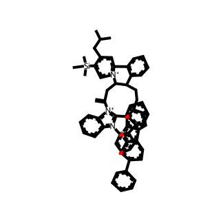 C=C1CC2C(CCc3ccc4c(sc5cc(-c6ccccc6)ccc54)c3-c3n(-c4ccccc4-c4ccccc4)c4ccccc4[n+]31)c1ccccc1-c1cc(CC(C)C)c([Si](C)(C)C)c[n+]12